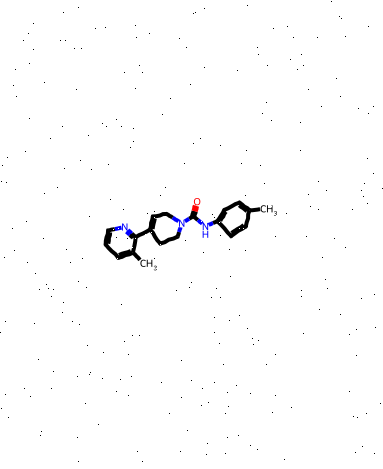 Cc1ccc(NC(=O)N2CC=C(c3ncccc3C)CC2)cc1